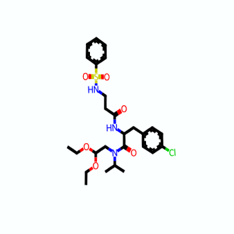 CCOC(CN(C(=O)C(Cc1ccc(Cl)cc1)NC(=O)CCNS(=O)(=O)c1ccccc1)C(C)C)OCC